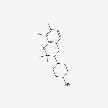 CCCC1CCC(C2Cc3ccc(C)c(F)c3OC2(F)F)CC1